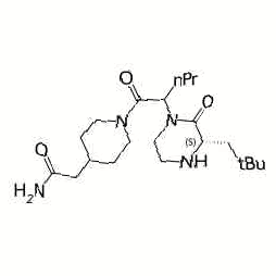 CCCC(C(=O)N1CCC(CC(N)=O)CC1)N1CCN[C@@H](CC(C)(C)C)C1=O